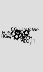 C#CCN(c1ccc(N(CC(=O)O)S(=O)(=O)c2c(C)cc(OC)cc2C)c2ccccc12)[C@@H](C)CC(=O)O